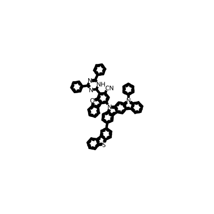 N#Cc1cc(-n2c3ccc(-c4ccc5sc6ccccc6c5c4)cc3c3cc4c5ccccc5n(-c5ccccc5)c4cc32)c2c(oc3ccccc32)c1C1N=C(c2ccccc2)N=C(c2ccccc2)N1